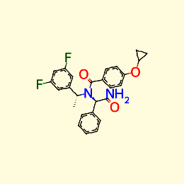 C[C@H](c1cc(F)cc(F)c1)N(C(=O)c1ccc(OC2CC2)cc1)[C@@H](C(N)=O)c1ccccc1